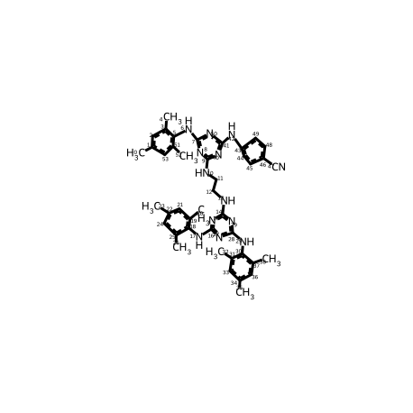 Cc1cc(C)c(Nc2nc(NCCNc3nc(Nc4c(C)cc(C)cc4C)nc(Nc4c(C)cc(C)cc4C)n3)nc(Nc3ccc(C#N)cc3)n2)c(C)c1